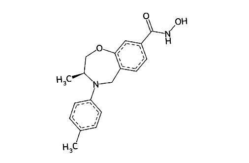 Cc1ccc(N2Cc3ccc(C(=O)NO)cc3OC[C@@H]2C)cc1